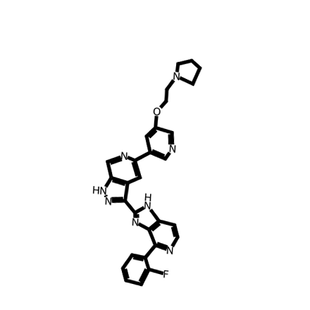 Fc1ccccc1-c1nccc2[nH]c(-c3n[nH]c4cnc(-c5cncc(OCCN6CCCC6)c5)cc34)nc12